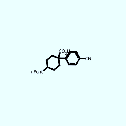 CCCCCC1CCC(C(=O)O)(c2ccc(C#N)cc2)CC1